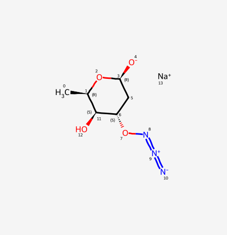 C[C@H]1O[C@@H]([O-])C[C@H](ON=[N+]=[N-])[C@H]1O.[Na+]